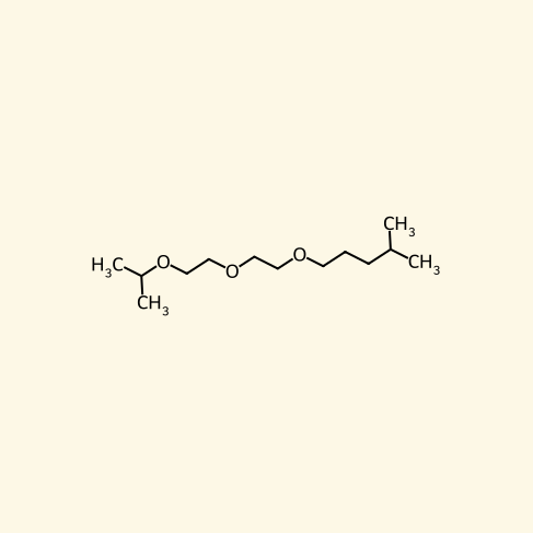 CC(C)CCCOCCOCCOC(C)C